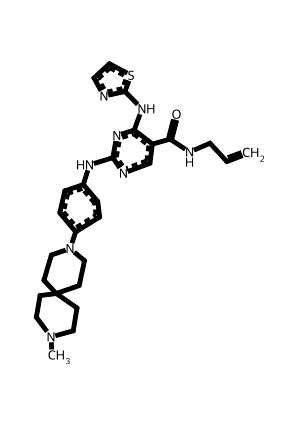 C=CCNC(=O)c1cnc(Nc2ccc(N3CCC4(CCN(C)CC4)CC3)cc2)nc1Nc1nccs1